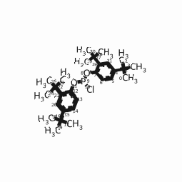 CC(C)(C)c1ccc(OP(Cl)Oc2ccc(C(C)(C)C)cc2C(C)(C)C)c(C(C)(C)C)c1